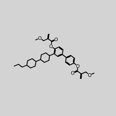 C=C(COC)C(=O)Oc1ccc(-c2ccc(OC(=O)C(=C)COC)c(C3CCC(C4CCC(CCC)CC4)CC3)c2)cc1